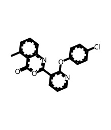 Cc1cccc2nc(-c3cccnc3Oc3ccc(Cl)cc3)oc(=O)c12